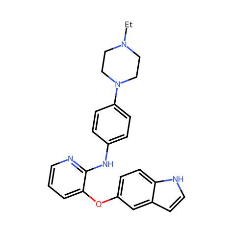 CCN1CCN(c2ccc(Nc3ncccc3Oc3ccc4[nH]ccc4c3)cc2)CC1